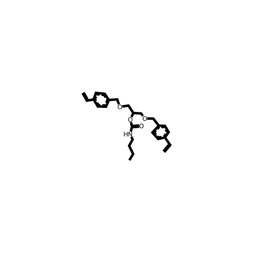 C=Cc1ccc(COCC(COCc2ccc(C=C)cc2)OC(=O)NCCCC)cc1